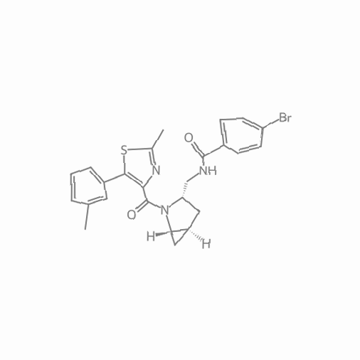 Cc1cccc(-c2sc(C)nc2C(=O)N2[C@H](CNC(=O)c3ccc(Br)cc3)C[C@H]3C[C@@H]32)c1